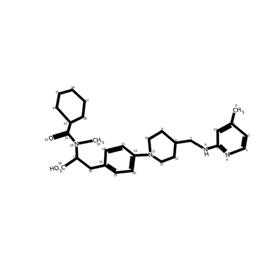 Cc1ccnc(NCC2CCN(c3ccc(CC(C(=O)O)N(C)C(=O)C4CCCCC4)cc3)CC2)c1